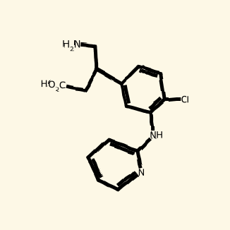 NCC(CC(=O)O)c1ccc(Cl)c(Nc2ccccn2)c1